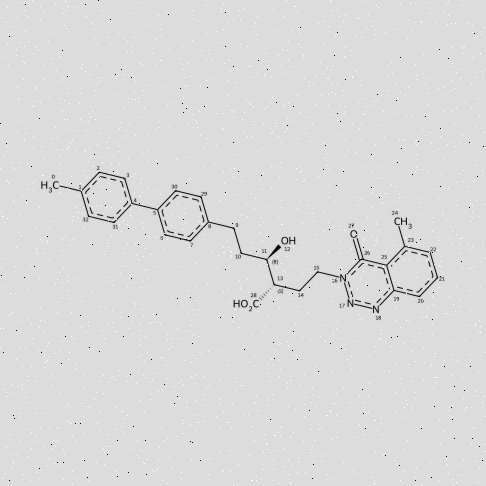 Cc1ccc(-c2ccc(CC[C@@H](O)[C@H](CCn3nnc4cccc(C)c4c3=O)C(=O)O)cc2)cc1